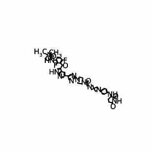 CCN(C)S(=O)(=O)Nc1ccc(F)c(C(=O)c2c[nH]c3ncc(-c4cnc(N5CCN(C(=O)CN6CC7(C6)CN(c6ccc(NC8CCC(=O)NC8=O)cc6)C7)CC5)nc4)cc23)c1F